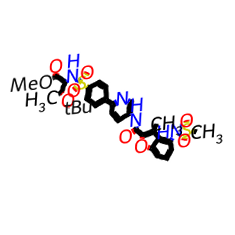 COC(=O)C(NS(=O)(=O)c1ccc(-c2ccc(NC(=O)c3oc4cccc(NS(C)(=O)=O)c4c3C)cn2)cc1)C(C)OC(C)(C)C